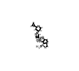 COc1ccc2cnn(C)c2c1NS(=O)(=O)c1cnn(-c2ccnc(C3CC3)c2)c1